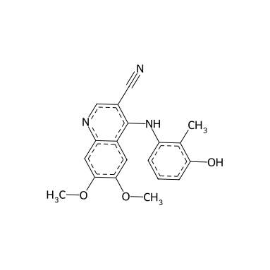 COc1cc2ncc(C#N)c(Nc3cccc(O)c3C)c2cc1OC